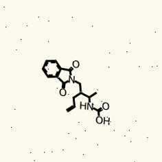 C=CCC(CN1C(=O)c2ccccc2C1=O)C(C)NC(=O)O